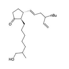 C=CC(CC=C[C@H]1CCC(=O)[C@@H]1CCCCCC(C)CO)CCCC